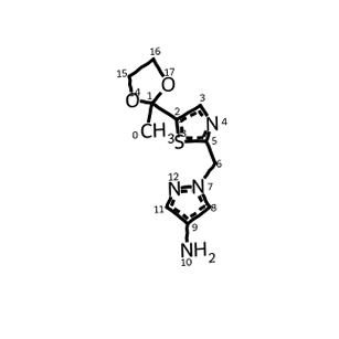 CC1(c2cnc(Cn3cc(N)cn3)s2)OCCO1